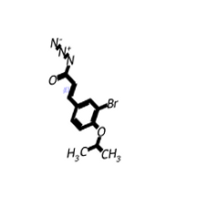 CC(C)Oc1ccc(/C=C/C(=O)N=[N+]=[N-])cc1Br